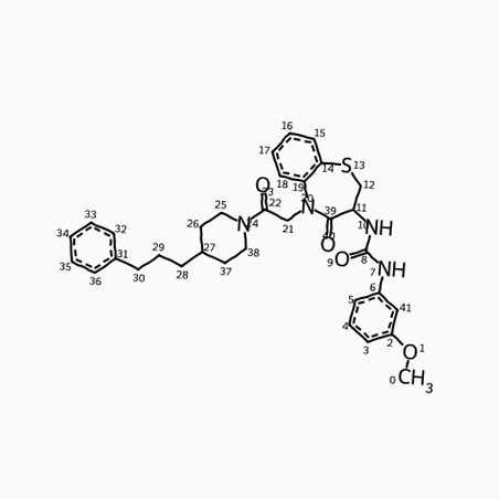 COc1cccc(NC(=O)NC2CSc3ccccc3N(CC(=O)N3CCC(CCCc4ccccc4)CC3)C2=O)c1